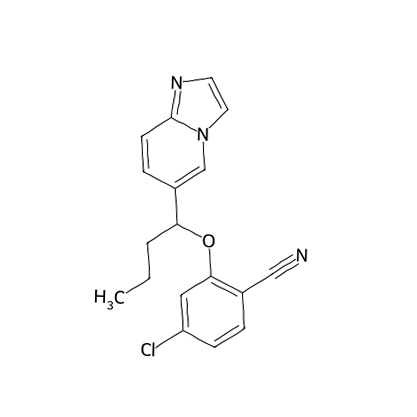 CCCC(Oc1cc(Cl)ccc1C#N)c1ccc2nccn2c1